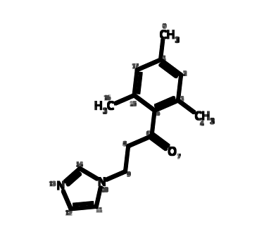 Cc1cc(C)c(C(=O)CCn2ccnc2)c(C)c1